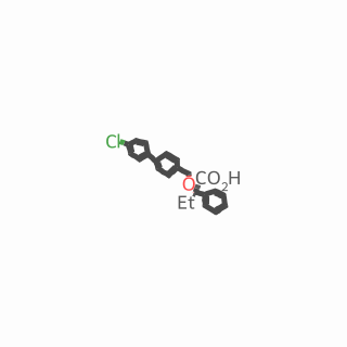 CC[C@@](OCc1ccc(-c2ccc(Cl)cc2)cc1)(C(=O)O)c1ccccc1